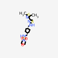 Cc1nc(-c2csc(NC[C@H]3CC[C@H](CNS(=O)(=O)N4CCOCC4)CC3)n2)c(C)s1